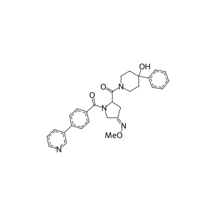 CON=C1CC(C(=O)N2CCC(O)(c3ccccc3)CC2)N(C(=O)c2ccc(-c3cccnc3)cc2)C1